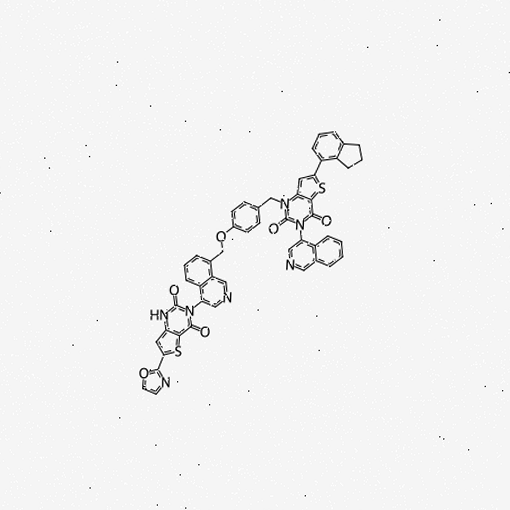 O=c1[nH]c2cc(-c3ncco3)sc2c(=O)n1-c1cncc2c(COc3ccc(Cn4c(=O)n(-c5cncc6ccccc56)c(=O)c5sc(-c6cccc7c6CCC7)cc54)cc3)cccc12